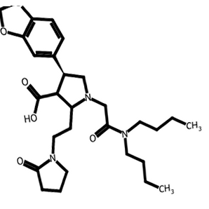 CCCCN(CCCC)C(=O)CN1C[C@H](c2ccc3c(c2)OCO3)C(C(=O)O)C1CCN1CCCC1=O